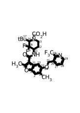 Cc1cc2oc(C)c(C(=O)NC3CCN(C(=O)O)C(C(C)(C)C)C3(F)F)c2cc1OCc1cccnc1C(F)(F)F